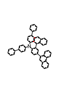 c1ccc(-c2ccc(N(c3ccc(-c4ccccc4)cc3)c3ccc(-c4cc5ccccc5c5ccccc45)cc3-c3cccc4ccccc34)cc2)cc1